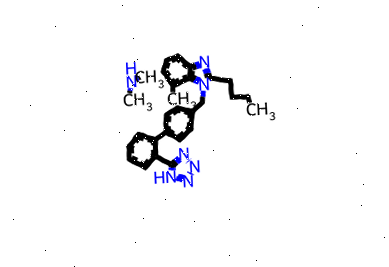 CCCCc1nc2cccc(C)c2n1Cc1ccc(-c2ccccc2-c2nnn[nH]2)cc1.CNC